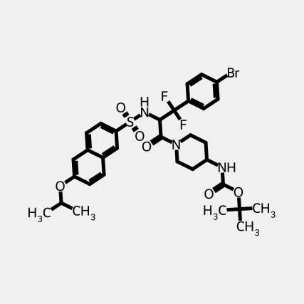 CC(C)Oc1ccc2cc(S(=O)(=O)NC(C(=O)N3CCC(NC(=O)OC(C)(C)C)CC3)C(F)(F)c3ccc(Br)cc3)ccc2c1